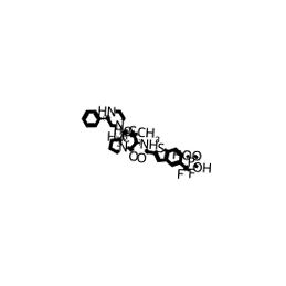 CC(C)(C)[C@H](NC(=O)c1cc2cc(C(F)(F)P(=O)(O)O)ccc2s1)C(=O)N1CCC[C@H]1C(=O)N1CCN[C@H](c2ccccc2)C1